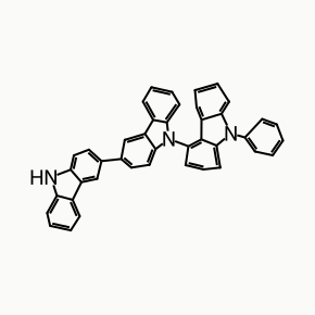 c1ccc(-n2c3ccccc3c3c(-n4c5ccccc5c5cc(-c6ccc7[nH]c8ccccc8c7c6)ccc54)cccc32)cc1